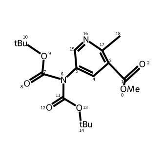 COC(=O)c1cc(N(C(=O)OC(C)(C)C)C(=O)OC(C)(C)C)cnc1C